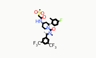 Cc1cc(F)ccc1[C@H]1C[C@@H](NC(=O)CS(C)(=O)=O)CCN1C(=O)N(C)[C@@H](C)c1cc(C(F)(F)F)cc(C(F)(F)F)c1